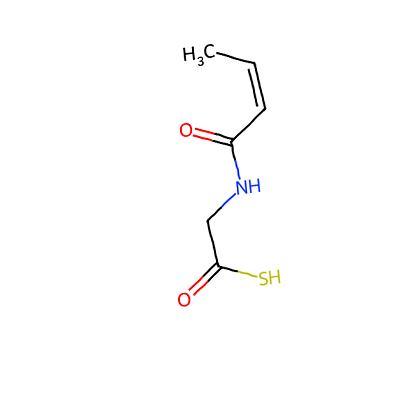 C/C=C\C(=O)NCC(=O)S